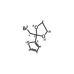 BrCC1(c2cccs2)OCCO1